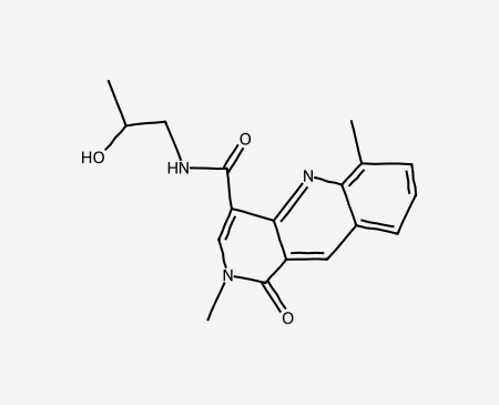 Cc1cccc2cc3c(=O)n(C)cc(C(=O)NCC(C)O)c3nc12